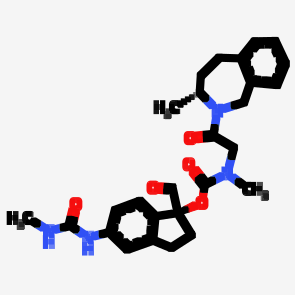 CNC(=O)Nc1ccc2c(c1)CC[C@]2(C=O)OC(=O)N(C)CC(=O)N1Cc2ccccc2CC[C@H]1C